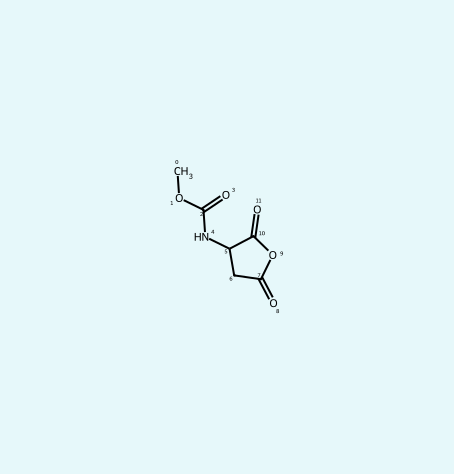 COC(=O)NC1CC(=O)OC1=O